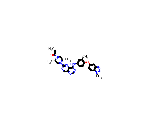 C=CC(=O)N1C[C@H](C)N(c2ncc3ncnc(Nc4ccc(Oc5ccc6c(c5)nnn6C)c(C)c4)c3n2)C[C@@H]1C